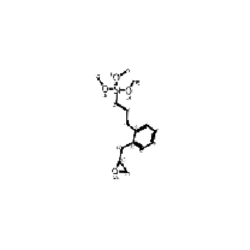 CO[Si](CCCc1ccccc1CC1CO1)(OC)OC